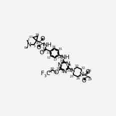 CN(C)CC1(S(=O)(=O)NC(=O)c2ccc(Nc3nc(OCC(F)(F)F)nc(N4CCN(S(C)(=O)=O)CC4)n3)cc2)CC1